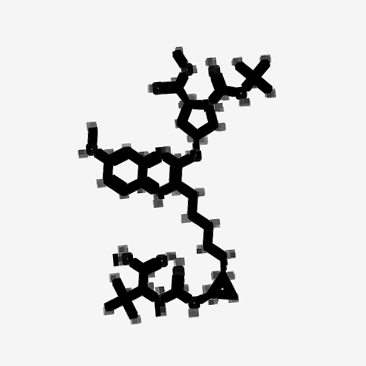 COC(=O)[C@@H]1C[C@@H](Oc2nc3cc(OC)ccc3nc2CCCCC[C@@H]2C[C@H]2OC(=O)NC(C(=O)O)C(C)(C)C)CN1C(=O)OC(C)(C)C